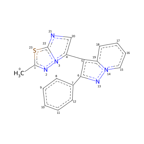 Cc1nn2c(-c3c(-c4ccccc4)nn4ccccc34)cnc2s1